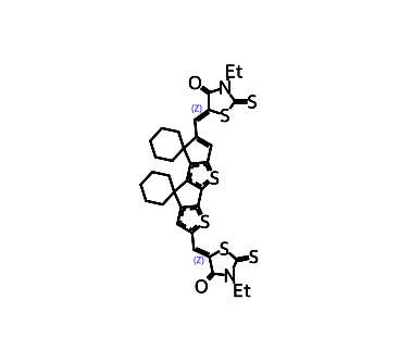 CCN1C(=O)/C(=C/C2=Cc3sc4c(c3C23CCCCC3)C2(CCCCC2)c2cc(/C=C3\SC(=S)N(CC)C3=O)sc2-4)SC1=S